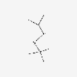 CC(C)[CH]SC(C)(C)C